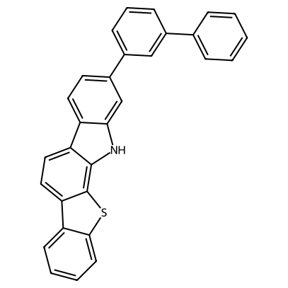 c1ccc(-c2cccc(-c3ccc4c(c3)[nH]c3c4ccc4c5ccccc5sc43)c2)cc1